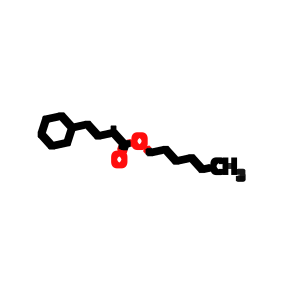 CCCCCCOC(=O)[CH]CCC1CCCCC1